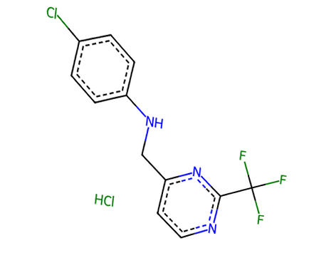 Cl.FC(F)(F)c1nccc(CNc2ccc(Cl)cc2)n1